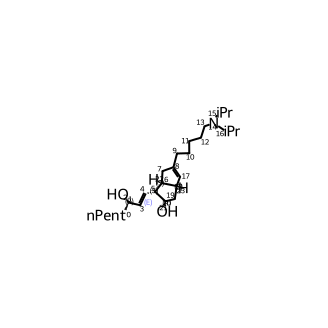 CCCCC[C@@H](O)/C=C/[C@@H]1[C@H]2CC(CCCCCN(C(C)C)C(C)C)=C[C@H]2C[C@H]1O